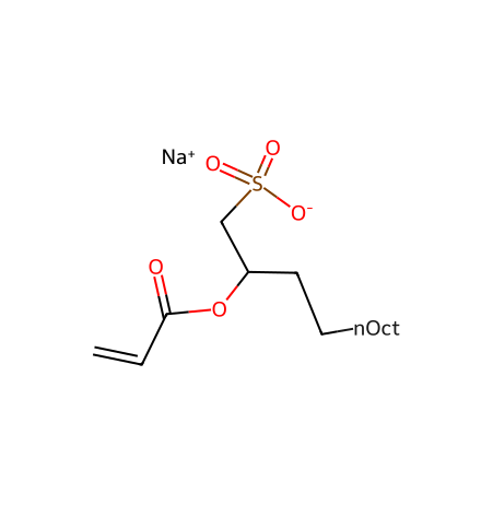 C=CC(=O)OC(CCCCCCCCCC)CS(=O)(=O)[O-].[Na+]